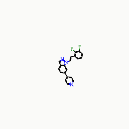 Fc1cccc(C=Cn2ncc3ccc(-c4ccncc4)cc32)c1F